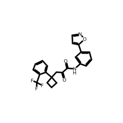 O=C(CC1(c2ccccc2C(F)(F)F)CCC1)C(=O)Nc1cccc(-c2ccno2)c1